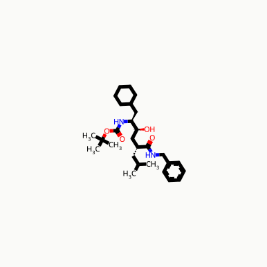 CC(C)C[C@H](C[C@H](O)[C@H](CC1CCCCC1)NC(=O)OC(C)(C)C)C(=O)NCc1ccccc1